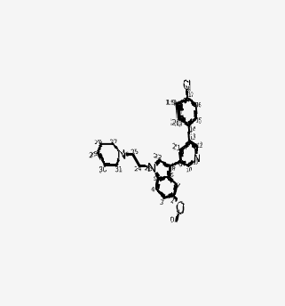 COc1ccc2c(c1)c(-c1cncc(-c3ccc(Cl)cc3)c1)cn2CCN1CCCCC1